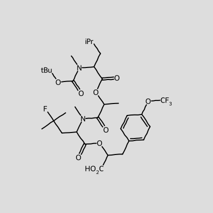 CC(C)CC(C(=O)OC(C)C(=O)N(C)C(CC(C)(C)F)C(=O)OC(Cc1ccc(OC(F)(F)F)cc1)C(=O)O)N(C)C(=O)OC(C)(C)C